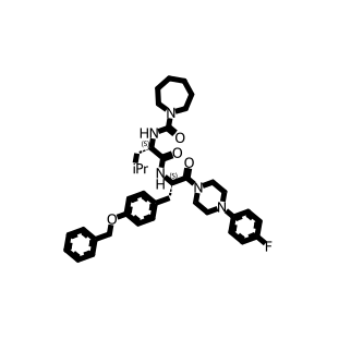 CC(C)C[C@H](NC(=O)N1CCCCCC1)C(=O)N[C@@H](Cc1ccc(OCc2ccccc2)cc1)C(=O)N1CCN(c2ccc(F)cc2)CC1